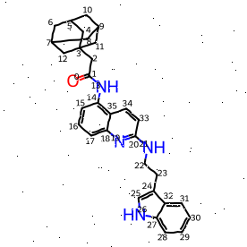 O=C(CC12CC3CC(CC(C3)C1)C2)Nc1cccc2nc(NCCc3c[nH]c4ccccc34)ccc12